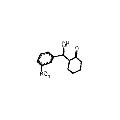 O=C1CCCCC1C(O)c1cccc([N+](=O)[O-])c1